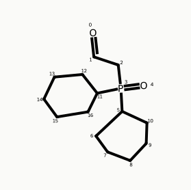 O=CCP(=O)(C1CCCCC1)C1CCCCC1